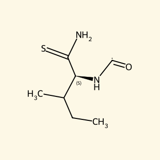 CCC(C)[C@H](N[C]=O)C(N)=S